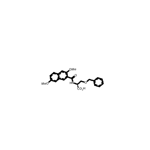 COc1ccc2cc(OC)c(C(=O)N[C@@H](COCc3ccccc3)C(=O)O)cc2c1